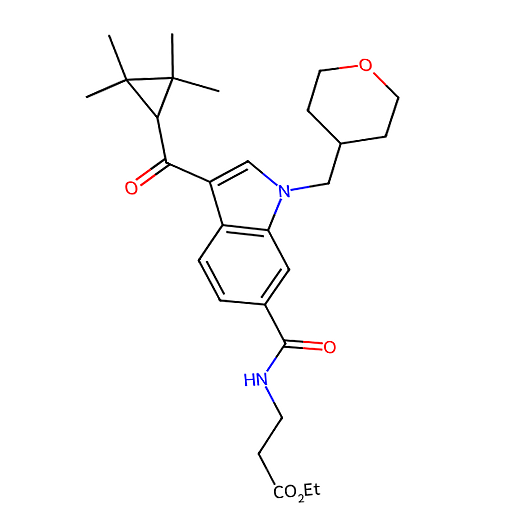 CCOC(=O)CCNC(=O)c1ccc2c(C(=O)C3C(C)(C)C3(C)C)cn(CC3CCOCC3)c2c1